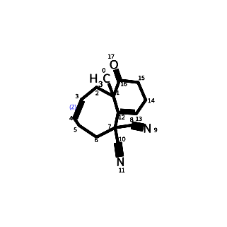 CC12C/C=C\CCC(C#N)(C#N)C1=CCCC2=O